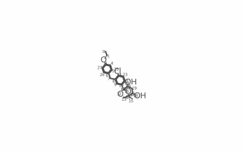 CCOc1ccc(Cc2cc([C@]34OC[C@](C)(O3)[C@@H](O)C[C@H]4O)ccc2Cl)cc1